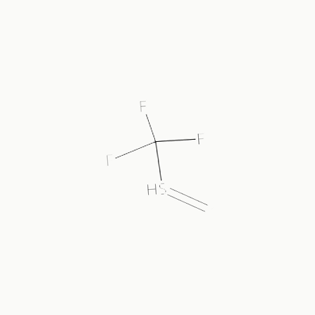 [CH]=[SH]C(F)(F)F